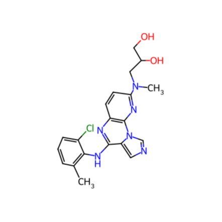 Cc1cccc(Cl)c1Nc1nc2ccc(N(C)CC(O)CO)nc2n2cncc12